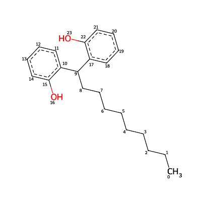 CCCCCCCCCC(c1ccccc1O)c1ccccc1O